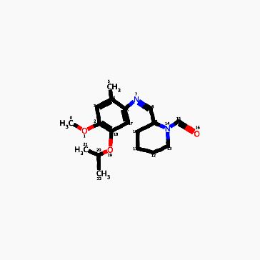 COc1cc(C)c(/N=C\C2CCCCN2C=O)cc1OC(C)C